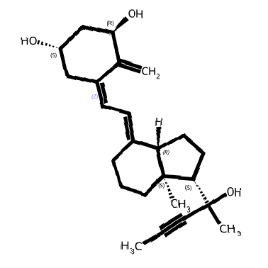 C=C1/C(=C\C=C2CCC[C@]3(C)[C@@H](C(C)(O)C#CC)CC[C@@H]23)C[C@H](O)C[C@H]1O